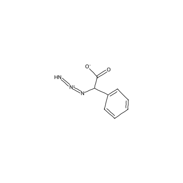 N=[N+]=NC(C(=O)[O-])c1ccccc1